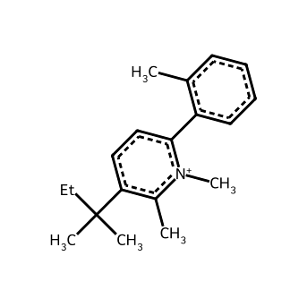 CCC(C)(C)c1ccc(-c2ccccc2C)[n+](C)c1C